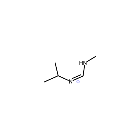 CN/C=N\C(C)C